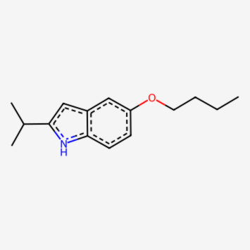 CCCCOc1ccc2[nH]c(C(C)C)cc2c1